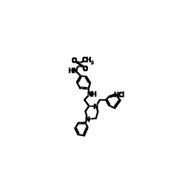 CS(=O)(=O)Nc1ccc(NCC2CN(c3ccccc3)CCN2Cc2ccccc2)cc1.Cl